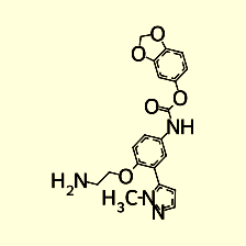 Cn1nccc1-c1cc(NC(=O)Oc2ccc3c(c2)OCO3)ccc1OCCN